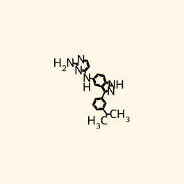 CC(C)c1cccc(-c2n[nH]c3ccc(Nc4ccnc(N)n4)cc23)c1